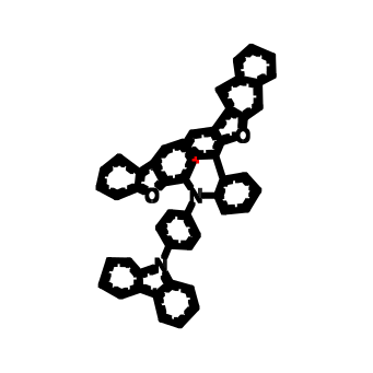 c1ccc(N(c2ccc(-n3c4ccccc4c4ccccc43)cc2)c2cccc3c2oc2ccccc23)c(-c2cccc3c2oc2cc4ccccc4cc23)c1